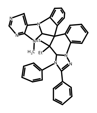 CCC1(CC)C2N(N=C(c3ccccc3)N2c2ccccc2)c2ccccc2C12c1ccccc1N1c3cncnc3N(C)C12